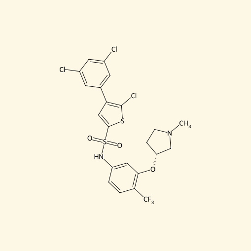 CN1CC[C@@H](Oc2cc(NS(=O)(=O)c3cc(-c4cc(Cl)cc(Cl)c4)c(Cl)s3)ccc2C(F)(F)F)C1